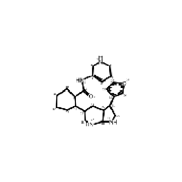 O=C(NC1=CCCNC1)C1CCCCC1C1CNC2NCC(c3ccoc3)C2C1